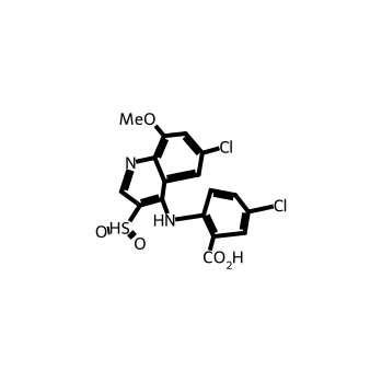 COc1cc(Cl)cc2c(Nc3ccc(Cl)cc3C(=O)O)c([SH](=O)=O)cnc12